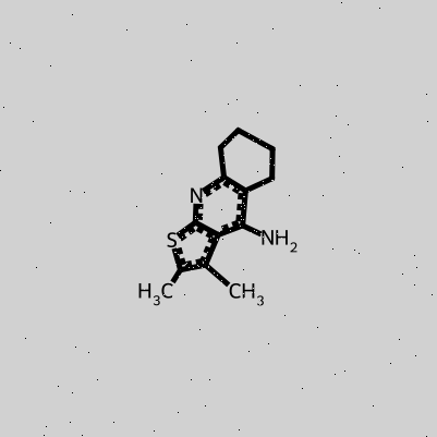 Cc1sc2nc3c(c(N)c2c1C)CCCC3